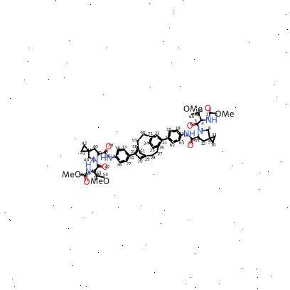 COC(=O)NC(C(=O)N1CC2(CC2)C[C@H]1C(=O)Nc1ccc(-c2cc3ccc2CCC2=CC(c4ccc(NC(=O)[C@@H]5CC6(CC6)CN5C(=O)[C@@H](NC(=O)OC)[C@@H](C)OC)cc4)=C(CC3)C2)cc1)[C@H](C)OC